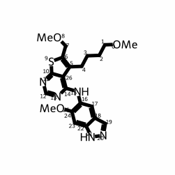 COCCCCc1c(COC)sc2ncnc(Nc3cc4cn[nH]c4cc3OC)c12